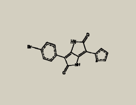 O=C1NC2=C(c3cccs3)C(=O)NC2=C1c1ccc(Br)cc1